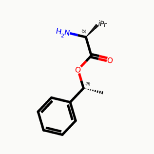 CC(C)[C@H](N)C(=O)O[C@H](C)c1ccccc1